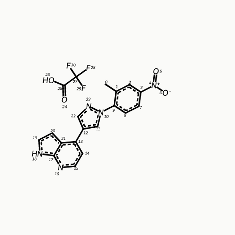 Cc1cc([N+](=O)[O-])ccc1-n1cc(-c2ccnc3[nH]ccc23)cn1.O=C(O)C(F)(F)F